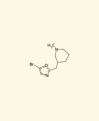 CN1CCCC(Cc2ncc(Br)o2)C1